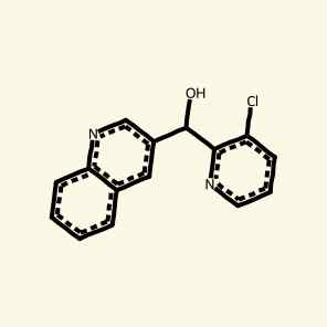 OC(c1cnc2ccccc2c1)c1ncccc1Cl